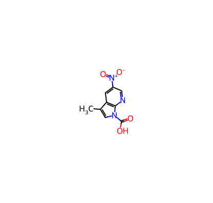 Cc1cn(C(=O)O)c2ncc([N+](=O)[O-])cc12